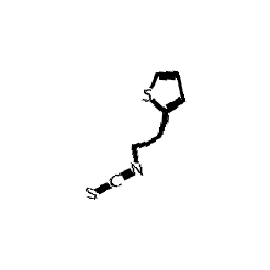 S=C=NCCc1cccs1